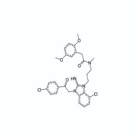 COc1ccc(OC)c(CC(=O)N(C)CCCn2c(=N)n(CC(=O)c3ccc(Cl)cc3)c3cccc(Cl)c32)c1